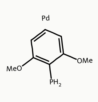 COc1cccc(OC)c1P.[Pd]